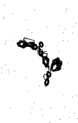 c1ccc(N(c2ccc3c(c2)oc2ccccc23)c2ccc3c(c2)sc2nc(N(c4ccccc4)c4ccc5c(c4)oc4ccccc45)ncc23)cc1